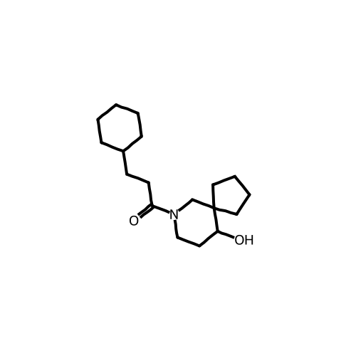 O=C(CCC1CCCCC1)N1CCC(O)C2(CCCC2)C1